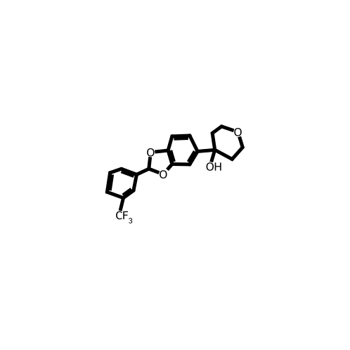 OC1(c2ccc3c(c2)OC(c2cccc(C(F)(F)F)c2)O3)CCOCC1